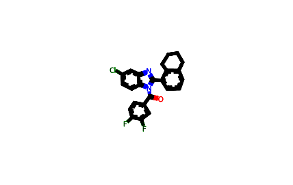 O=C(c1ccc(F)c(F)c1)n1c(-c2cccc3c2CCCC3)nc2cc(Cl)ccc21